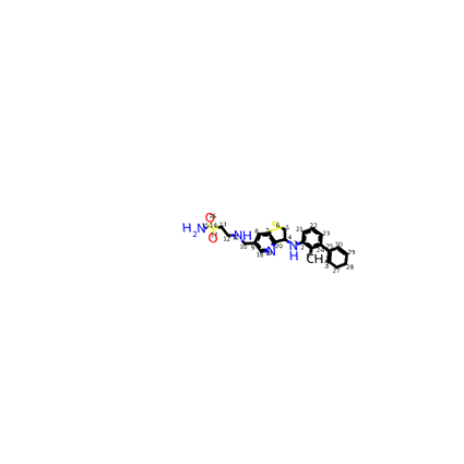 Cc1c(NC2CSc3cc(CNCCS(N)(=O)=O)cnc32)cccc1C1=CCCC=C1